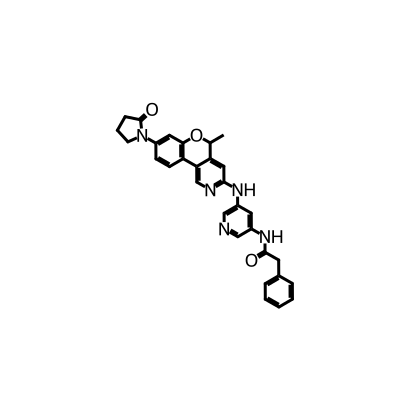 CC1Oc2cc(N3CCCC3=O)ccc2-c2cnc(Nc3cncc(NC(=O)Cc4ccccc4)c3)cc21